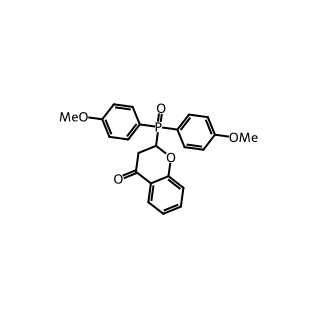 COc1ccc(P(=O)(c2ccc(OC)cc2)C2CC(=O)c3ccccc3O2)cc1